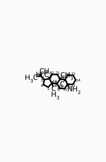 C=C(C)C1CCC2(C)C3CCC4(N)CCCCC4(C)C3(C)CCC12C